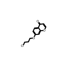 O=c1ccoc2cc(OCCCCl)ccc12